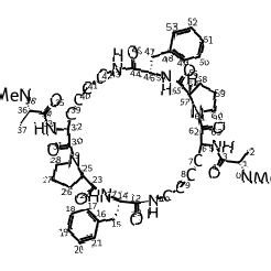 CN[C@@H](C)C(=O)NC1CCCCNC(=O)[C@H](Cc2ccccc2)NC(=O)C2CCCN2C(=O)[C@@H](NC(=O)[C@H](C)NC)CCCCNC(=O)[C@H](Cc2ccccc2)NC(=O)[C@@H]2CCCN2C1=O